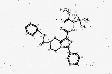 CNC(=O)[C@@H](NC(=O)c1nc(-c2ccccc2)n2c1CN(C(=O)Nc1ccccc1)CC2)C(C)(C)C